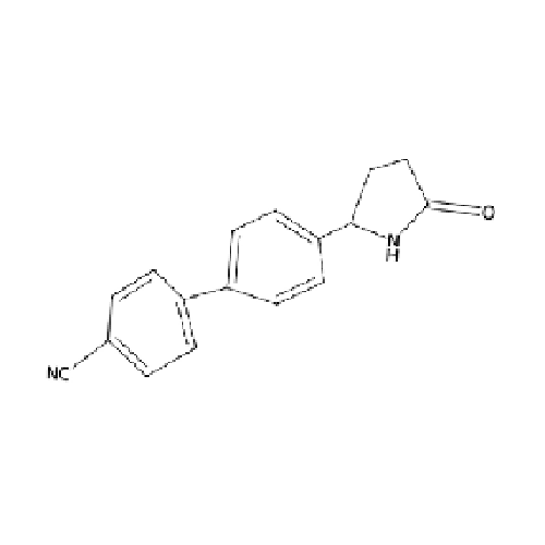 N#Cc1ccc(-c2ccc(C3CCC(=O)N3)cc2)cc1